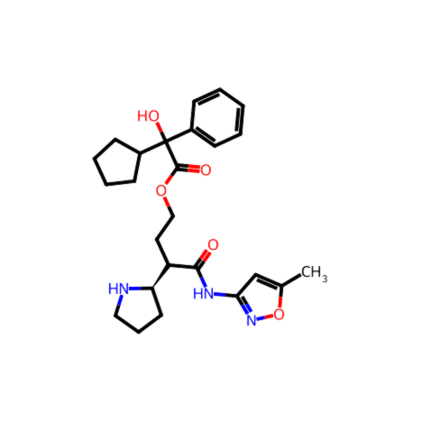 Cc1cc(NC(=O)C(CCOC(=O)C(O)(c2ccccc2)C2CCCC2)[C@H]2CCCN2)no1